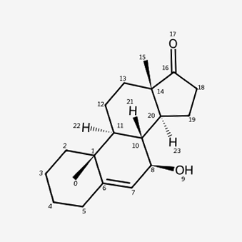 C[C@]12CCCCC1=C[C@H](O)[C@@H]1[C@@H]2CC[C@]2(C)C(=O)CC[C@@H]12